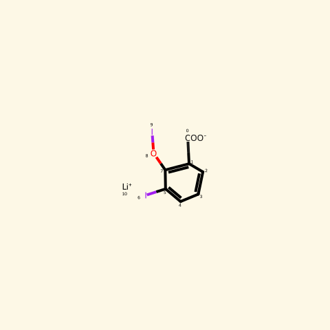 O=C([O-])c1cccc(I)c1OI.[Li+]